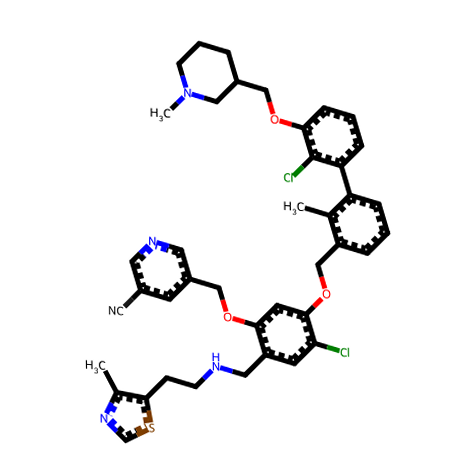 Cc1ncsc1CCNCc1cc(Cl)c(OCc2cccc(-c3cccc(OCC4CCCN(C)C4)c3Cl)c2C)cc1OCc1cncc(C#N)c1